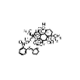 C=C[C@@]1(C)CC(=O)[C@]2(O)[C@@]3(C)[C@@H](O)CCC(C)(C)[C@@H]3[C@H](O)[C@H](OC(=O)[C@@H]3CCCN3Sc3ccccc3[N+](=O)[O-])[C@@]2(C)O1